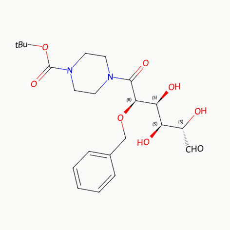 CC(C)(C)OC(=O)N1CCN(C(=O)[C@H](OCc2ccccc2)[C@@H](O)[C@H](O)[C@H](O)C=O)CC1